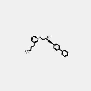 CCCCc1ccc[n+](CCCC#Cc2ccc(-c3ccccc3)cc2)c1.[Br-]